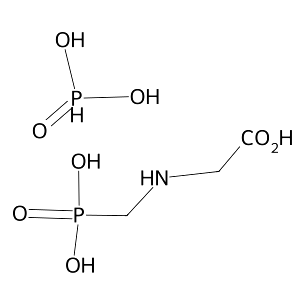 O=C(O)CNCP(=O)(O)O.O=[PH](O)O